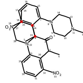 CC(C(=O)C(C)c1c(N2CCN(C)CC2)cccc1[N+](=O)[O-])c1c(N2CCN(C)CC2)cccc1[N+](=O)[O-]